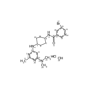 Cc1nc(NC2CCC(NC(=O)c3cncc(Br)c3)CC2)cc(N(C)C)n1.Cl.Cl